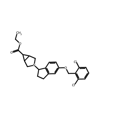 CCOC(=O)C1C2CN(C3CCc4cc(OCc5c(Cl)cccc5Cl)ccc43)CC21